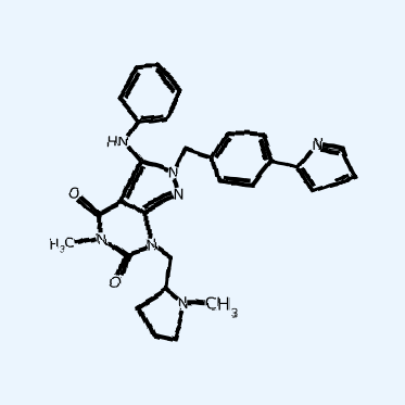 CN1CCCC1Cn1c(=O)n(C)c(=O)c2c(Nc3ccccc3)n(Cc3ccc(-c4ccccn4)cc3)nc21